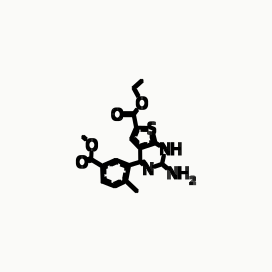 CCOC(=O)c1cc2c(s1)NC(N)N=C2c1cc(C(=O)OC)ccc1C